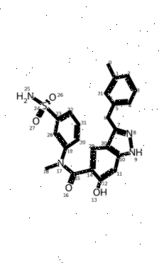 Cc1cccc(Cc2n[nH]c3cc(O)c(C(=O)N(C)c4cccc(S(N)(=O)=O)c4)cc23)c1